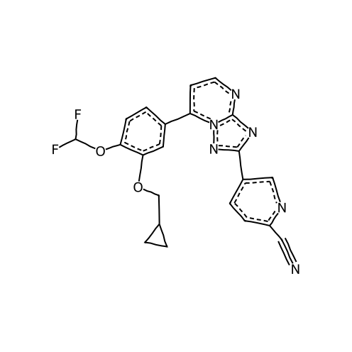 N#Cc1ccc(-c2nc3nccc(-c4ccc(OC(F)F)c(OCC5CC5)c4)n3n2)cn1